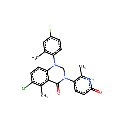 Cc1cc(F)ccc1N1CN(c2ccc(=O)[nH]c2C)C(=O)c2c1ccc(Cl)c2C